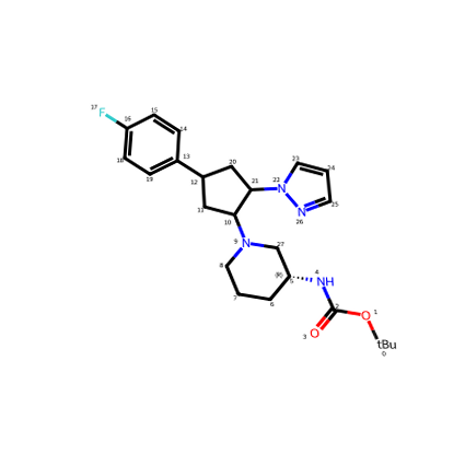 CC(C)(C)OC(=O)N[C@@H]1CCCN(C2CC(c3ccc(F)cc3)CC2n2cccn2)C1